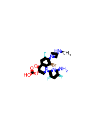 CNC1CN(c2c(F)cc3c(=O)c(OC(=O)O)cn(-c4nc(N)c(F)cc4F)c3c2Br)C1